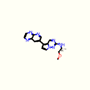 COC[C@@H](C)Nc1ncc2c(-c3cnc4nccnc4c3)ccn2n1